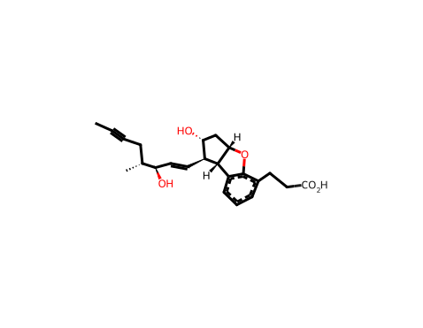 CC#CC[C@@H](C)[C@H](O)/C=C/[C@@H]1[C@H]2c3cccc(CCC(=O)O)c3O[C@H]2C[C@H]1O